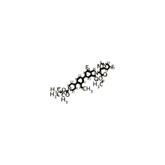 CCOC(=O)C(c1ncn2c1C[C@@H](F)C2)N1Cc2c(F)cc(-c3ccc(C4CCN(C(=O)OC(C)(C)C)CC4)c(CC)c3)cc2C1=O